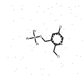 CC(C)[Si](OCc1cc(Cl)cnc1CCl)(C(C)C)C(C)C